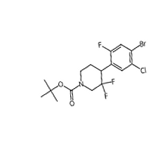 CC(C)(C)OC(=O)N1CCC(c2cc(Cl)c(Br)cc2F)C(F)(F)C1